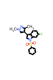 Cc1nn(C)cc1-c1cn(S(=O)(=O)c2ccccc2)c2cc(F)ccc12